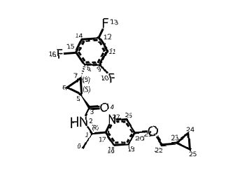 C[C@@H](NC(=O)[C@H]1C[C@@H]1c1c(F)cc(F)cc1F)c1ccc(OCC2CC2)cn1